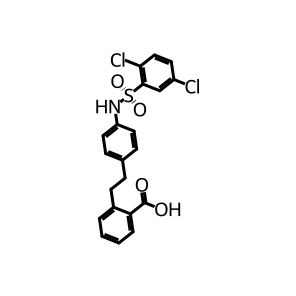 O=C(O)c1ccccc1CCc1ccc(NS(=O)(=O)c2cc(Cl)ccc2Cl)cc1